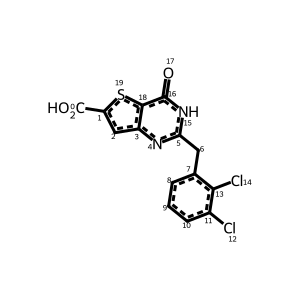 O=C(O)c1cc2nc(Cc3cccc(Cl)c3Cl)[nH]c(=O)c2s1